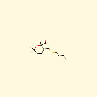 CCCCSC(=O)C1CCC(C)(C)OC1(C)C(=O)O